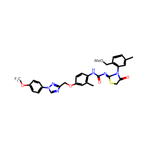 COCc1ccc(C)cc1N1C(=O)CSC1=NC(=O)Nc1ccc(OCc2ncn(-c3ccc(OC(F)(F)F)cc3)n2)cc1C